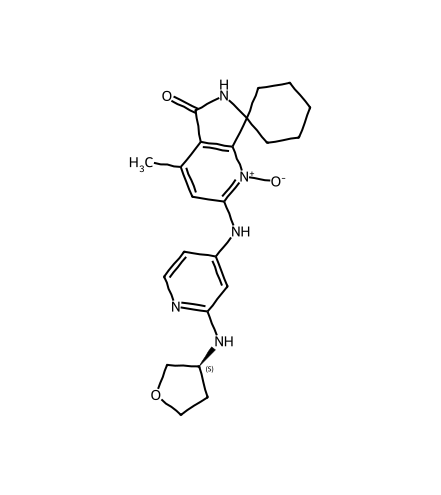 Cc1cc(Nc2ccnc(N[C@H]3CCOC3)c2)[n+]([O-])c2c1C(=O)NC21CCCCC1